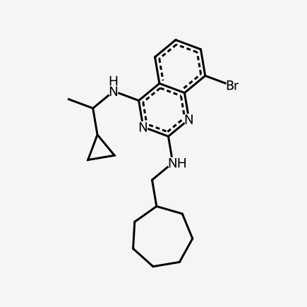 CC(Nc1nc(NCC2CCCCCC2)nc2c(Br)cccc12)C1CC1